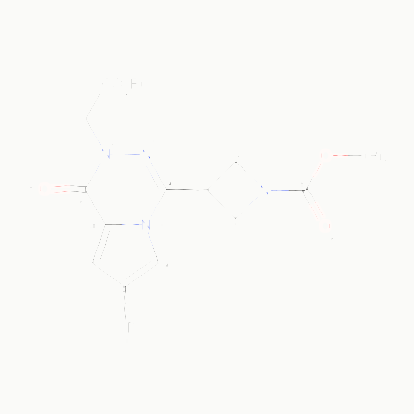 CCOC(=O)Cn1nc(C2CN(C(=O)OC(C)(C)C)C2)n2cc(C(C)C)cc2c1=O